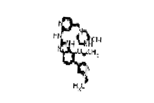 CCOc1c(-c2cnn(CC)c2)ccc2nc(Nc3cc(CN4CCNCC4)ccn3)[nH]c12.Cl